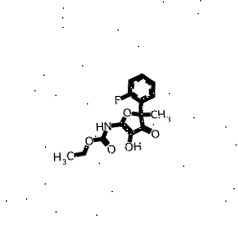 CCOC(=O)NC1=C(O)C(=O)C(C)(c2ccccc2F)O1